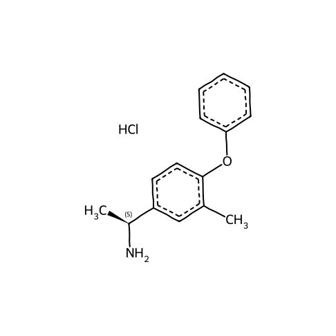 Cc1cc([C@H](C)N)ccc1Oc1ccccc1.Cl